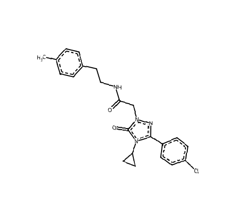 Cc1ccc(CCNC(=O)Cn2nc(-c3ccc(Cl)cc3)n(C3CC3)c2=O)cc1